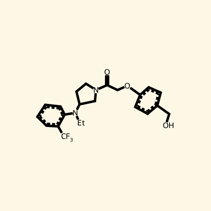 CCN(c1ccccc1C(F)(F)F)C1CCN(C(=O)COc2ccc(CO)cc2)C1